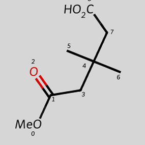 COC(=O)CC(C)(C)CC(=O)O